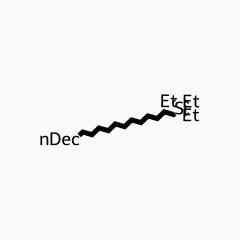 [CH2]CCCCCCCCCCCCCCCCCCCCC[Si](CC)(CC)CC